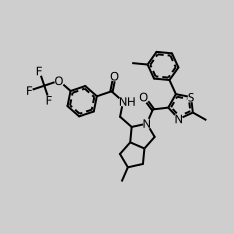 Cc1cccc(-c2sc(C)nc2C(=O)N2CC3CC(C)CC3C2CNC(=O)c2cccc(OC(F)(F)F)c2)c1